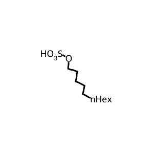 CCCCCCCCCCCOS(=O)(=O)O